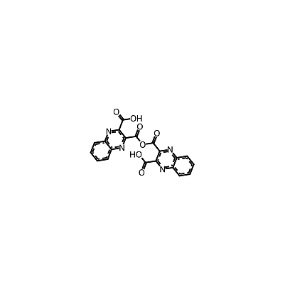 O=C(O)c1nc2ccccc2nc1C(=O)OC(=O)c1nc2ccccc2nc1C(=O)O